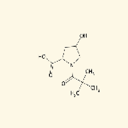 CC(C)(C)C(=O)N1CC(O)CC1C(=O)O